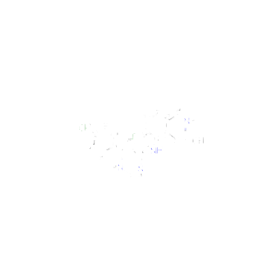 Cc1cc2c(Nc3cc(-c4ccc(Cl)cc4)ncn3)c(F)ccc2cn1